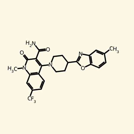 Cc1ccc2oc(C3CCN(c4c(C(N)=O)c(=O)n(C)c5cc(C(F)(F)F)ccc45)CC3)nc2c1